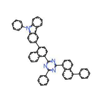 c1ccc(-c2nc(-c3cccc4c(-c5ccccc5)cccc34)nc(-c3ccc(-c4ccc5c(c4)c4ccccc4n5-c4ccccc4)c4ccccc34)n2)cc1